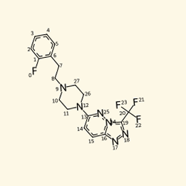 Fc1ccccc1CCN1CCN(c2ccc3nnc(C(F)(F)F)n3n2)CC1